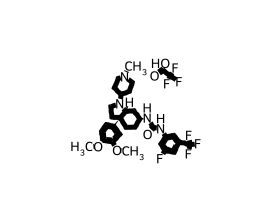 COc1ccc([C@@]23CC[C@@H](NC(=O)Nc4cc(F)cc(C(F)(F)F)c4)C[C@@H]2N(C2CCN(C)CC2)CC3)cc1OC.O=C(O)C(F)(F)F